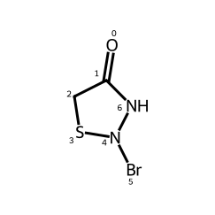 O=C1CSN(Br)N1